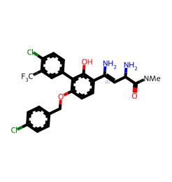 CNC(=O)C(N)/C=C(\N)c1ccc(OCc2ccc(Cl)cc2)c(-c2ccc(Cl)c(C(F)(F)F)c2)c1O